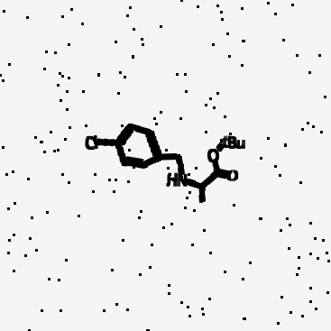 CC(NCc1ccc(Cl)cc1)C(=O)OC(C)(C)C